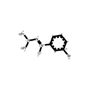 CCCN(CCC)N=[N+]([O-])c1cccc(Br)c1